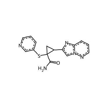 NC(=O)C1(Sc2cccnc2)CC1c1cn2ncccc2n1